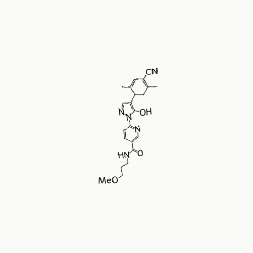 COCCCNC(=O)c1ccc(-n2ncc(C3CC(C)=C(C#N)C=C3C)c2O)nc1